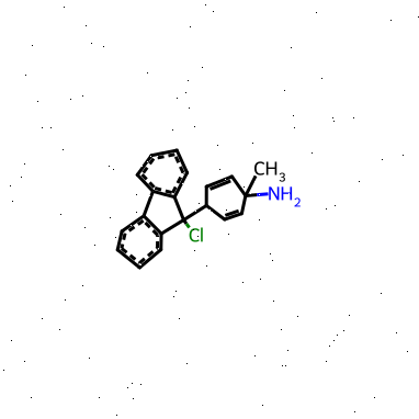 CC1(N)C=CC(C2(Cl)c3ccccc3-c3ccccc32)C=C1